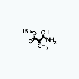 [CH2]C(C(=O)OC(C)(C)C)C(N)O